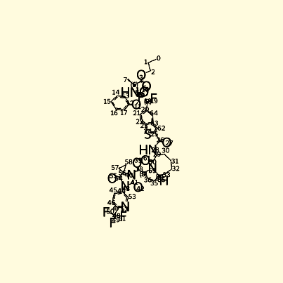 CCCOC(=O)[C@H](C)NP(=O)(Oc1ccccc1)[C@@H](F)c1ccc2sc(C(=O)NC3CCCC[C@H]4CC[C@@H](C(=O)N5C(=O)N(c6ccc(C(F)(F)F)nc6)C(=O)C56CC6)N4C3=O)cc2c1